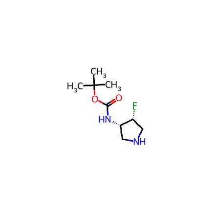 CC(C)(C)OC(=O)N[C@H]1CNC[C@H]1F